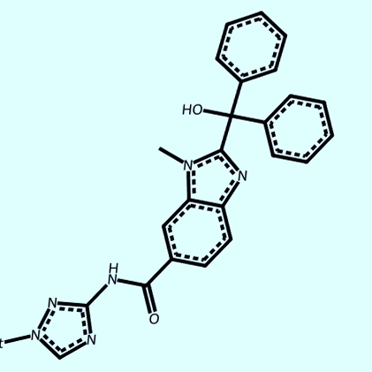 CCn1cnc(NC(=O)c2ccc3nc(C(O)(c4ccccc4)c4ccccc4)n(C)c3c2)n1